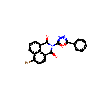 O=C1c2cccc3c(Br)ccc(c23)C(=O)N1c1nnc(-c2ccccc2)o1